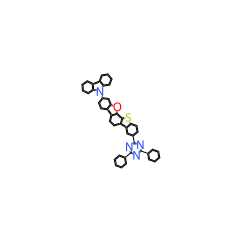 c1ccc(-c2nc(-c3ccccc3)nc(-c3ccc4sc5c(ccc6c7ccc(-n8c9ccccc9c9ccccc98)cc7oc65)c4c3)n2)cc1